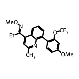 CCC(=NOC)c1cc(C)nc2c(-c3ccc(OC)cc3OC(F)(F)F)cccc12